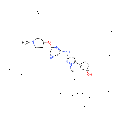 CN1CCC(Oc2cncc(Nc3cc([C@H]4CC[C@@H](O)C4)n(C(C)(C)C)n3)n2)CC1